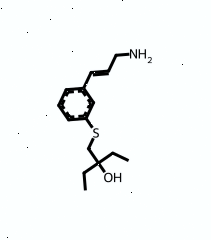 CCC(O)(CC)CSc1cccc(C=CCN)c1